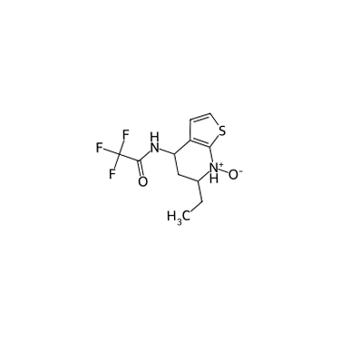 CCC1CC(NC(=O)C(F)(F)F)c2ccsc2[NH+]1[O-]